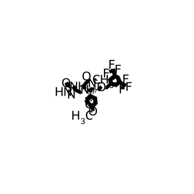 COc1ccc([C@H]2[C@@H](COCc3cc(C(F)(F)F)cc(C(F)(F)F)c3)N(C)C(=O)CN2Cc2n[nH]c(=O)[nH]2)cc1